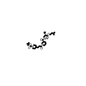 C#C[C@@H](CNC(=O)[C@@H]1CCCN(C(=O)CCC2CCN(C(=O)OC(C)(C)C)CC2)C1)C(=O)OCCC(C)C